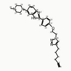 C#CCCCCc1cn(CCOc2ccc(-c3nc4ccc(N5CCN(C)CC5)cc4[nH]3)cc2)nn1